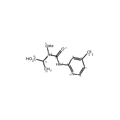 CON(C(=O)Nc1cc(C(F)(F)F)ccn1)C(C)C(=O)O